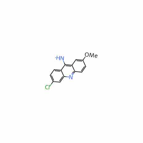 COc1ccc2nc3cc(Cl)ccc3c([NH])c2c1